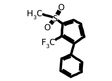 CS(=O)(=O)c1cccc(-c2ccccc2)c1C(F)(F)F